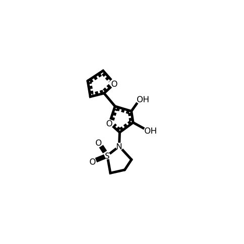 O=S1(=O)CCCN1c1oc(-c2ccco2)c(O)c1O